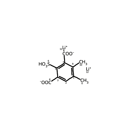 Cc1cc(C(=O)[O-])c(S(=O)(=O)O)c(C(=O)[O-])c1C.[Li+].[Li+]